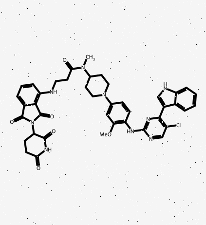 COc1cc(N2CCC(N(C)C(=O)CCNc3cccc4c3C(=O)N(C3CCC(=O)NC3=O)C4=O)CC2)ccc1Nc1ncc(Cl)c(-c2c[nH]c3ccccc23)n1